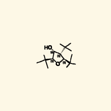 CC(C)(C)[C@H]1[C@@H](O)[C@H](C(C)(C)C)O[C@@H]1C(C)(C)C